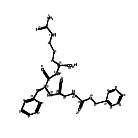 N=C(N)NCCC[C@H](NC(=O)[C@H](Cc1ccccc1)NC(=O)CNC(=O)OCc1ccccc1)C(=O)O